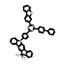 CC1(C)c2ccccc2-c2cc3c(cc21)c1ccccc1n3-c1ccc(-c2nc(-c3ccc(-c4ccccc4)cc3)nc(-c3ccc4c(c3)oc3ccccc34)n2)cc1